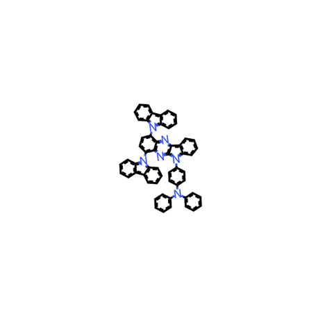 c1ccc(N(c2ccccc2)c2ccc(-n3c4ccccc4c4nc5c(-n6c7ccccc7c7ccccc76)ccc(-n6c7ccccc7c7ccccc76)c5nc43)cc2)cc1